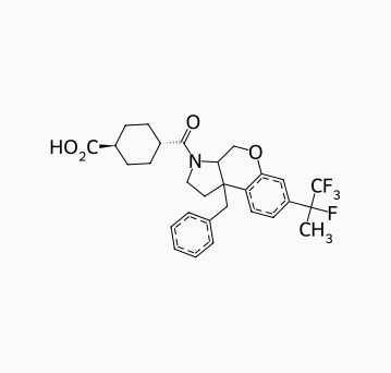 CC(F)(c1ccc2c(c1)OCC1N(C(=O)[C@H]3CC[C@H](C(=O)O)CC3)CCC21Cc1ccccc1)C(F)(F)F